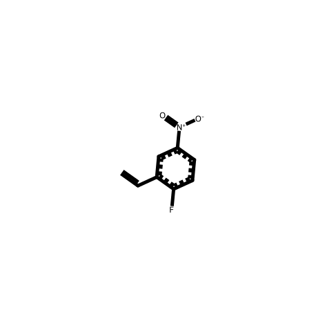 C=Cc1cc([N+](=O)[O-])ccc1F